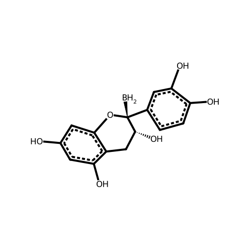 B[C@]1(c2ccc(O)c(O)c2)Oc2cc(O)cc(O)c2C[C@H]1O